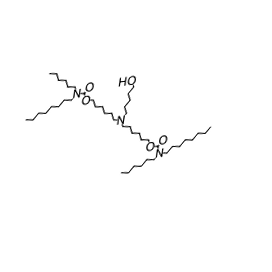 CCCCCCCCN(CCCCCC)C(=O)OCCCCCCN(CCCCCO)CCCCCCOC(=O)N(CCCCCC)CCCCCCCC